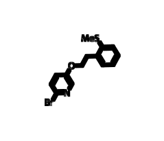 CSc1ccccc1CCOc1ccc(Br)nc1